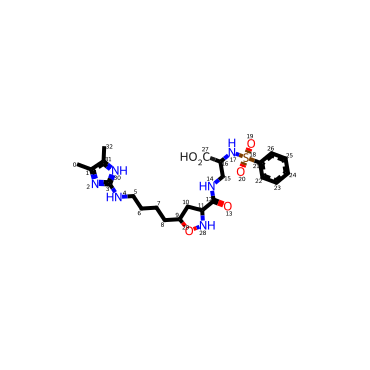 Cc1nc(NCCCCC2CC(C(=O)NCC(NS(=O)(=O)c3ccccc3)C(=O)O)NO2)[nH]c1C